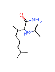 CC(C)CCCC(C)C(NC(C)C)C(N)=O